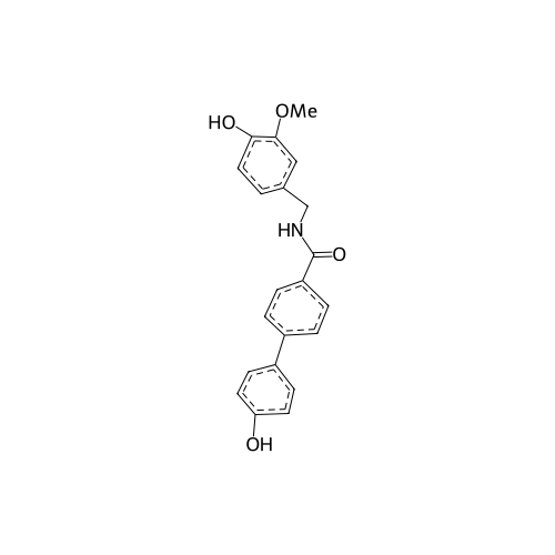 COc1cc(CNC(=O)c2ccc(-c3ccc(O)cc3)cc2)ccc1O